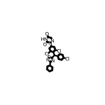 O=c1cnn(-c2cc(Cl)c(C(c3ccc(Cl)cc3)c3nc(-c4ccccc4)no3)c(Cl)c2)c(=O)[nH]1